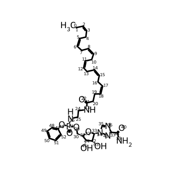 CC/C=C\C/C=C\C/C=C\C/C=C\C/C=C\C/C=C\CCC(=O)NCCNP(=O)(OC[C@H]1O[C@@H](n2cnc(C(N)=O)n2)[C@H](O)[C@@H]1O)Oc1ccccc1